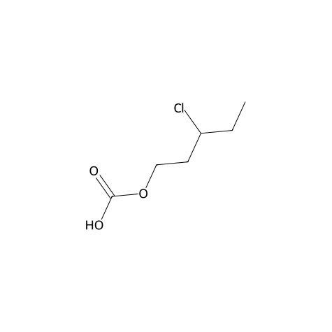 CCC(Cl)CCOC(=O)O